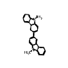 Cn1c2ccccc2c2cc(C3=CC=C4C(C3)c3ccccc3N4N)ccc21